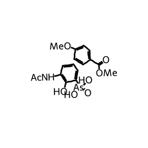 CC(=O)Nc1cccc([As](=O)(O)O)c1O.COC(=O)c1ccc(OC)cc1